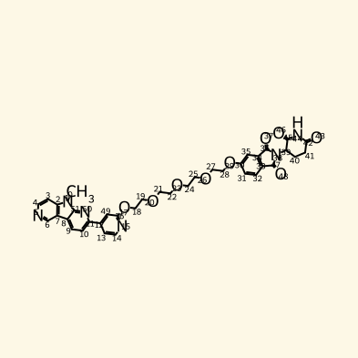 Cn1c2ccncc2c2ccc(-c3ccnc(OCCOCCOCCOCCOc4ccc5c(c4)C(=O)N(C4CCC(=O)NC4=O)C5=O)c3)nc21